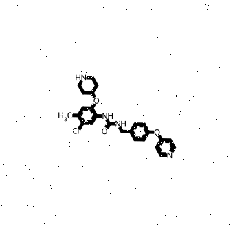 Cc1cc(OC2CCNCC2)c(NC(=O)NCc2ccc(Oc3ccncc3)cc2)cc1Cl